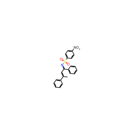 C/C(=C\C(=N\S(=O)(=O)c1ccc([N+](=O)[O-])cc1)c1ccccc1)c1ccccc1